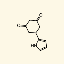 O=C1CC(=O)CC(c2ccc[nH]2)C1